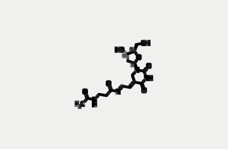 O=C(CCNC(=O)C(F)(F)F)N=CC=C1CN([C@H]2C[C@H](O)[C@@H](CO)O2)C(=O)NC1=O